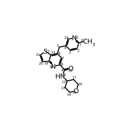 Cc1ccc(Cc2cc(C(=O)NC3CCOCC3)nc3ccsc23)cn1